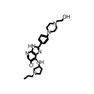 CCCN1CCC(Nc2c(Cl)cnc3[nH]c(-c4ccc(N5CCN(CCO)CC5)cc4)nc23)C1